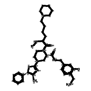 CC(C)NC(CCCCN1CCCCC1)C(=O)N1CCN(C2=N[C@@H](C)[C@H](c3ccccc3)O2)C[C@H]1C(=O)NCc1ccc(CN)c(Cl)c1